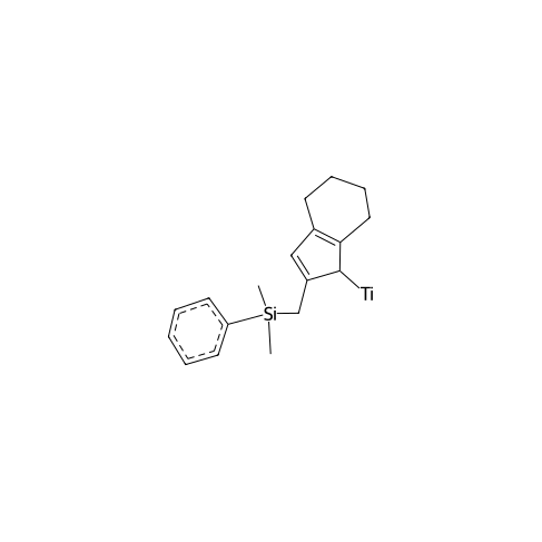 C[Si](C)(CC1=CC2=C(CCCC2)[CH]1[Ti])c1ccccc1